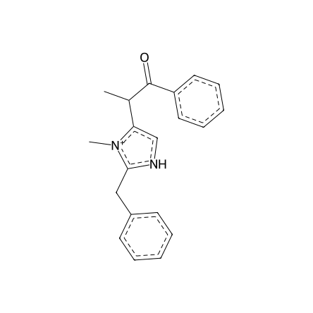 CC(C(=O)c1ccccc1)c1c[nH]c(Cc2ccccc2)[n+]1C